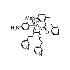 CNc1ccc(C)c([C@H](Cc2ccccc2)C(=O)N(NS(=O)(=O)c2ccc(N)cc2)C(CCCc2cccnc2)CCCc2cccnc2)c1